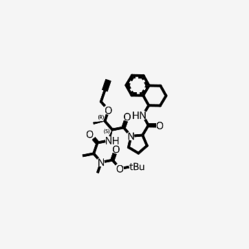 C#CCO[C@H](C)[C@H](NC(=O)C(C)N(C)C(=O)OC(C)(C)C)C(=O)N1CCCC1C(=O)NC1CCCc2ccccc21